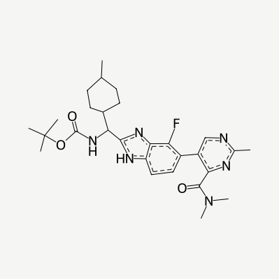 Cc1ncc(-c2ccc3[nH]c(C(NC(=O)OC(C)(C)C)C4CCC(C)CC4)nc3c2F)c(C(=O)N(C)C)n1